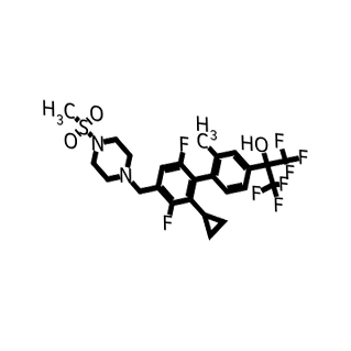 Cc1cc(C(O)(C(F)(F)F)C(F)(F)F)ccc1-c1c(F)cc(CN2CCN(S(C)(=O)=O)CC2)c(F)c1C1CC1